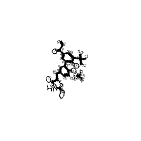 CCC(=O)c1cc(-c2cc(/C=C3\SC(=O)NC3=O)ccc2OC(F)(F)F)c2c(c1)C(C)(C)CO2